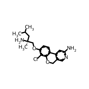 CC(C)C[C@](C)(N)COc1ccc2c(c1Cl)OCc1cnc(N)cc1-2